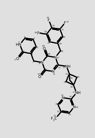 O=c1[nH]cccc1Cn1c(=O)nc(NC23CC(Nc4ncc(C(F)(F)F)cn4)(C2)C3)n(Cc2cc(F)c(F)c(F)c2)c1=O